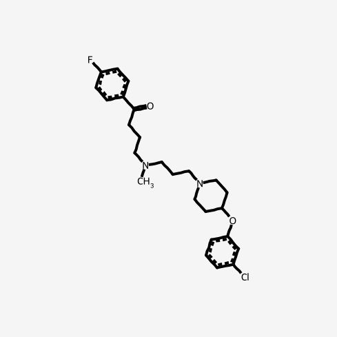 CN(CCCC(=O)c1ccc(F)cc1)CCCN1CCC(Oc2cccc(Cl)c2)CC1